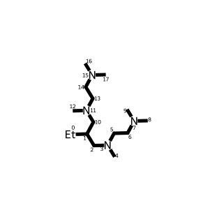 CCC(CN(C)CCN(C)C)CN(C)CCN(C)C